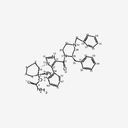 CC(C)[C@@]1(OC(N)=O)CCCC[C@@H]1n1cnc(C(=O)N2CCN(Cc3ccccc3)C[C@H]2Cc2ccccc2)c1-c1ccccc1